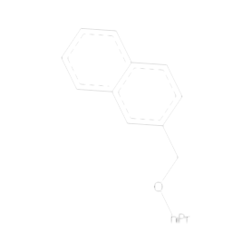 CCCOCc1ccc2ccccc2c1